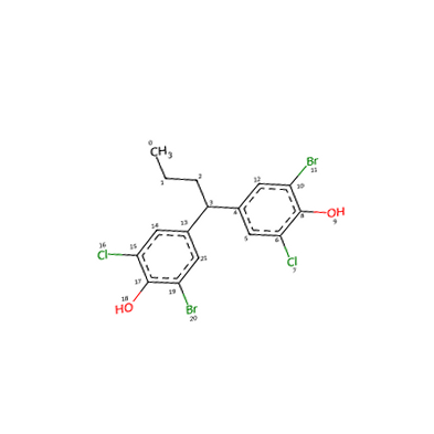 CCCC(c1cc(Cl)c(O)c(Br)c1)c1cc(Cl)c(O)c(Br)c1